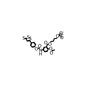 CC(=O)Oc1ccc(NC(=O)Oc2ccc(-c3cc(=S)ss3)cc2)cc1C(=O)OCCCCO[N+](=O)[O-]